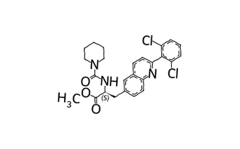 COC(=O)[C@H](Cc1ccc2nc(-c3c(Cl)cccc3Cl)ccc2c1)NC(=O)N1CCCCC1